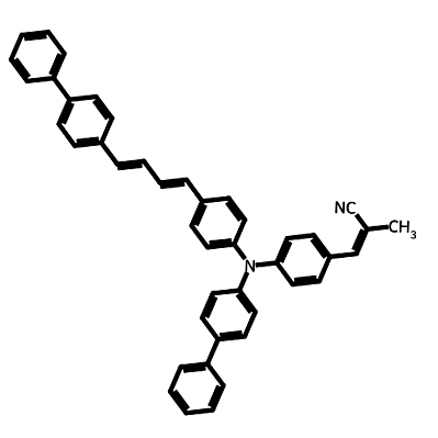 C/C(C#N)=C/c1ccc(N(c2ccc(/C=C/C=C/c3ccc(-c4ccccc4)cc3)cc2)c2ccc(-c3ccccc3)cc2)cc1